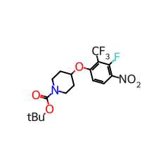 CC(C)(C)OC(=O)N1CCC(Oc2ccc([N+](=O)[O-])c(F)c2C(F)(F)F)CC1